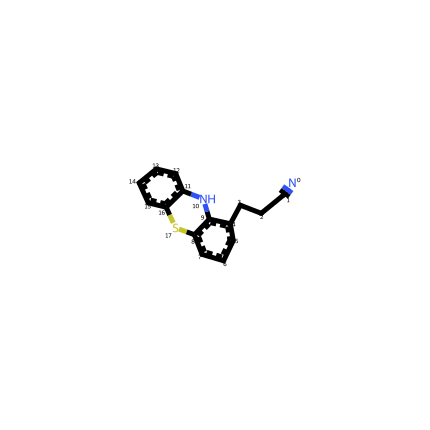 N#CCCc1cccc2c1Nc1ccccc1S2